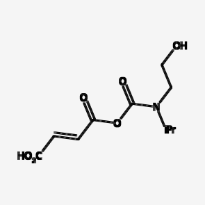 CC(C)N(CCO)C(=O)OC(=O)C=CC(=O)O